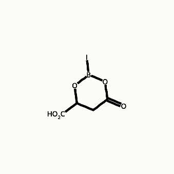 O=C1CC(C(=O)O)OB(I)O1